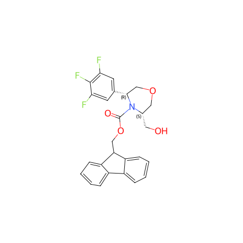 O=C(OCC1c2ccccc2-c2ccccc21)N1[C@@H](CO)COC[C@H]1c1cc(F)c(F)c(F)c1